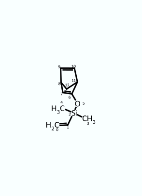 C=C[Si](C)(C)OC1=CC2C=CC1C2